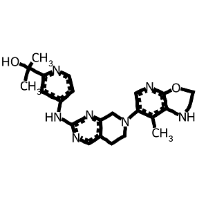 Cc1c(N2CCc3cnc(Nc4ccnc(C(C)(C)O)c4)nc3C2)cnc2c1NCCO2